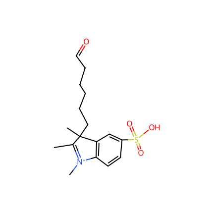 CC1=[N+](C)c2ccc(S(=O)(=O)O)cc2C1(C)CCCCCC=O